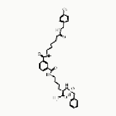 N#Cc1ccc(CNC(=O)CCCCCNC(=O)c2cccc(C(=O)NCCCC[C@@H](NS(=O)(=O)Cc3ccccc3)C(=O)P)c2)cc1